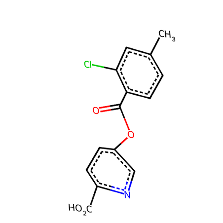 Cc1ccc(C(=O)Oc2ccc(C(=O)O)nc2)c(Cl)c1